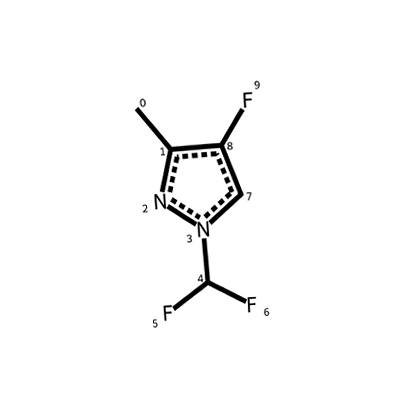 Cc1nn(C(F)F)cc1F